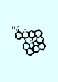 Cc1cccc2c1Sc1cccc3c1B2c1ccc2ccccc2c1[Si]3(c1cccc2ccccc12)c1cccc2ccccc12